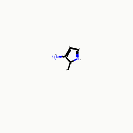 CC1N=CC=C1N